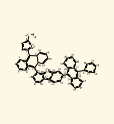 Cc1ccc(C2=c3ccccc3=C(c3cccc4c3oc3cc(-c5c6ccccc6c(-c6ccccc6)c6ccccc56)ccc34)C3C=CC=CC23)o1